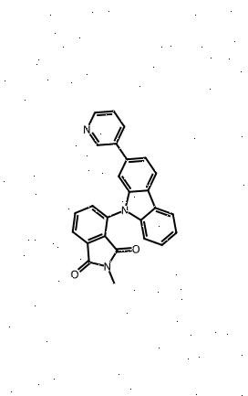 CN1C(=O)c2cccc(-n3c4ccccc4c4ccc(-c5cccnc5)cc43)c2C1=O